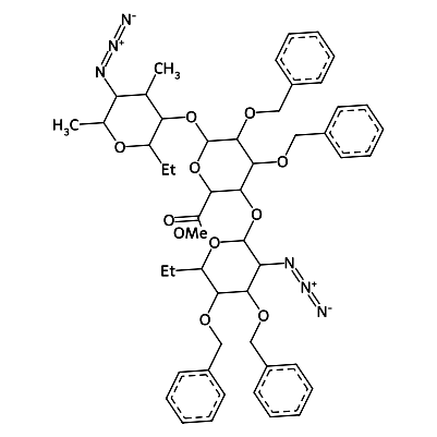 CCC1OC(C)C(N=[N+]=[N-])C(C)C1OC1OC(C(=O)OC)C(OC2OC(CC)C(OCc3ccccc3)C(OCc3ccccc3)C2N=[N+]=[N-])C(OCc2ccccc2)C1OCc1ccccc1